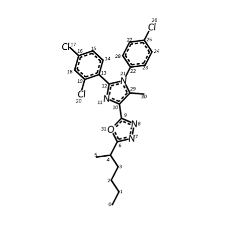 CCCCC(C)c1nnc(-c2nc(-c3ccc(Cl)cc3Cl)n(-c3ccc(Cl)cc3)c2C)o1